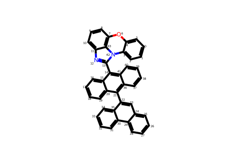 c1ccc2c(c1)Oc1cccc3nc(-c4c5ccccc5c(-c5cc6ccccc6c6ccccc56)c5ccccc45)n-2c13